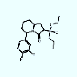 CCOP(=O)(OCC)C1CC2CCCC(c3ccc(F)c(F)c3)N2C1=O